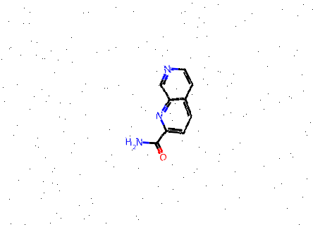 NC(=O)c1ccc2ccncc2n1